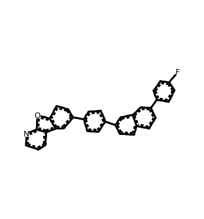 Fc1ccc(-c2ccc3ccc(-c4ccc(-c5ccc6oc7ncccc7c6c5)cc4)cc3c2)cc1